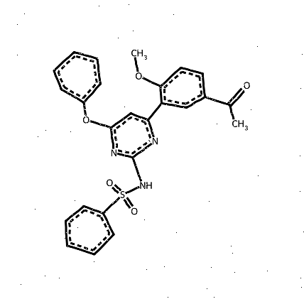 COc1ccc(C(C)=O)cc1-c1cc(Oc2ccccc2)nc(NS(=O)(=O)c2ccccc2)n1